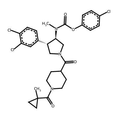 CN(C(=O)Oc1ccc(Cl)cc1)[C@H]1CN(C(=O)C2CCN(C(=O)C3(C)CC3)CC2)C[C@@H]1c1ccc(Cl)c(Cl)c1